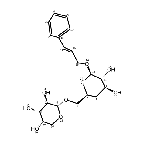 O[C@@H]1[C@@H](O)[C@H](OC[C@@H]2C[C@H](O)[C@@H](O)[C@H](OC/C=C/c3ccccc3)O2)OC[C@@H]1O